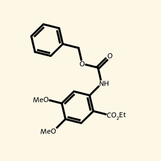 CCOC(=O)c1cc(OC)c(OC)cc1NC(=O)OCc1ccccc1